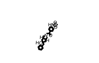 CS(=O)(=O)Nc1ccc(C(=O)CN2C[C@@H]3C[C@@](O)(Cc4ccccc4)C[C@@H]3C2)cc1